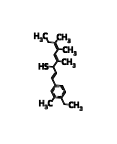 CC/C(C)=C(C)\C=C(/C)C(S)/C=C/c1ccc(CC)c(C)c1